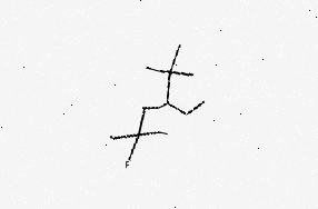 CCC(CC(C)(C)F)C(C)(C)C